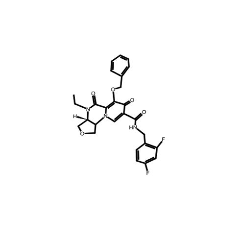 CCN1C(=O)c2c(OCc3ccccc3)c(=O)c(C(=O)NCc3ccc(F)cc3F)cn2C2COC[C@@H]21